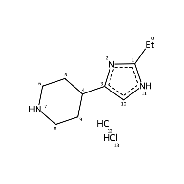 CCc1nc(C2CCNCC2)c[nH]1.Cl.Cl